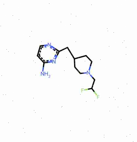 Nc1ccnc(CC2CCN(CC(F)F)CC2)n1